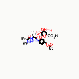 CCC(=O)OCc1ccc(NC(=O)[C@H](C)NC(=O)[C@@H](NC(C)C)C(C)C)c(O[C@@H]2O[C@H](C(=O)O)[C@@H](O)[C@H](O)[C@H]2O)c1